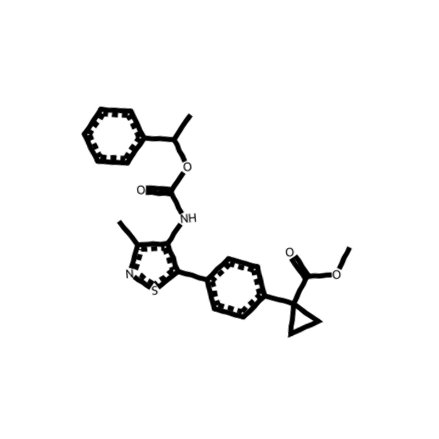 COC(=O)C1(c2ccc(-c3snc(C)c3NC(=O)OC(C)c3ccccc3)cc2)CC1